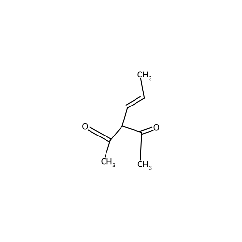 CC=CC(C(C)=O)C(C)=O